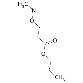 CCCOC(=O)CCO[N]C